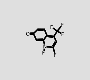 O=c1ccc2c(C(F)(F)F)cc(F)n(F)c-2c1